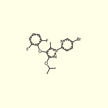 Cc1c(Oc2c(F)cccc2F)c(OC(C)C)nn1-c1ccc(Br)cn1